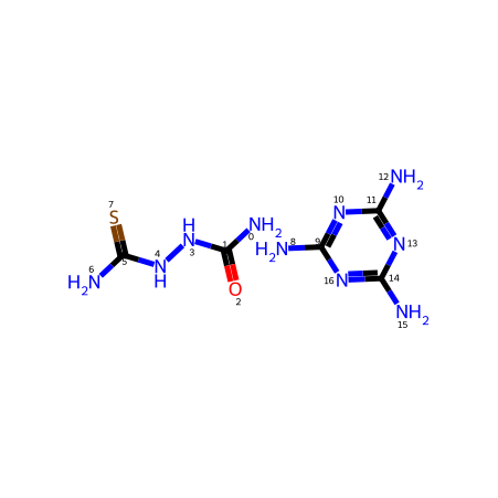 NC(=O)NNC(N)=S.Nc1nc(N)nc(N)n1